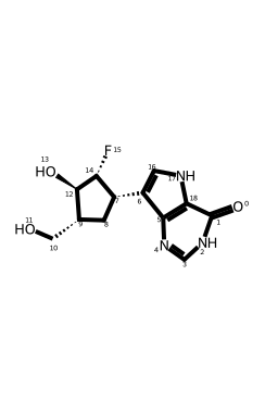 O=c1[nH]cnc2c([C@@H]3C[C@H](CO)[C@@H](O)[C@@H]3F)c[nH]c12